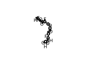 O=C1CCC(Nc2ccc(C3CCN(CC(=O)N4CCC(Oc5ccc(-c6cc(F)c7c(c6)C(=O)N(CC(=O)Nc6nccs6)C7)cc5)CC4)CC3)c(F)c2)C(=O)N1